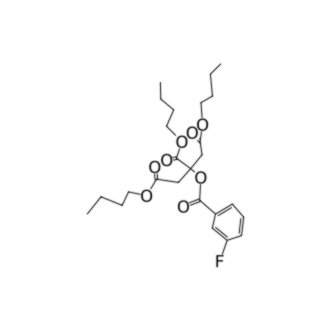 CCCCOC(=O)CC(CC(=O)OCCCC)(OC(=O)c1cccc(F)c1)C(=O)OCCCC